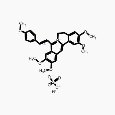 COc1ccc(/C=C/c2c3cc(OC)c(OC)cc3cc3[n+]2CCc2cc(OC)c(OC)cc2-3)cc1.O=S(=O)([O-])[O-].[H+]